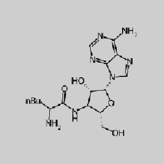 CCCCC(N)C(=O)NC1[C@@H](CO)O[C@@H](n2cnc3c(N)ncnc32)[C@H]1O